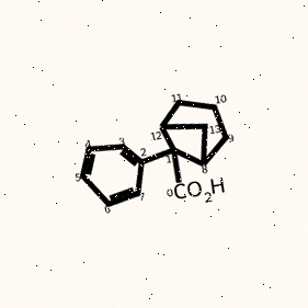 O=C(O)C1(c2ccccc2)C2CCCC1C2